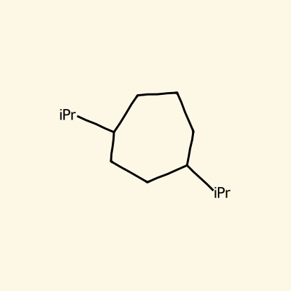 CC(C)C1CCCC(C(C)C)CC1